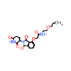 CCCOCCNC(=O)COc1cccc2c1C(=O)N(C1CCC(=O)NC1=O)C2=O